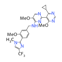 COc1cc(CNc2nc(-c3c(OC)ncnc3C3CC3)ncc2OC)ccc1-c1nc(C(F)(F)F)cn1C